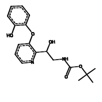 CC(C)(C)OC(=O)NCC(O)c1ncccc1Oc1ccccc1O